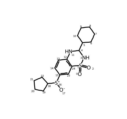 O=S1(=O)NC(C2CCCCC2)Nc2ccc([S+]([O-])C3CCCC3)cc21